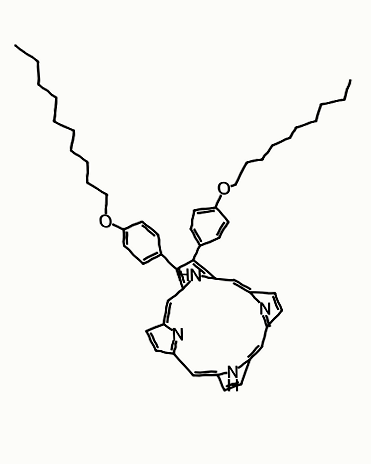 CCCCCCCCCCOc1ccc(-c2c(-c3ccc(OCCCCCCCCCC)cc3)c3cc4nc(cc5ccc(cc6nc(cc2[nH]3)C=C6)[nH]5)C=C4)cc1